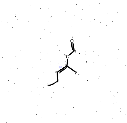 CC/C=C(\F)O[C]=O